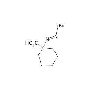 CC(C)(C)N=NC1(C(=O)O)CCCCC1